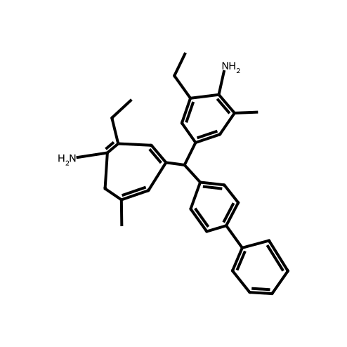 CCC1=C(N)CC(C)=CC(C(c2ccc(-c3ccccc3)cc2)c2cc(C)c(N)c(CC)c2)=C1